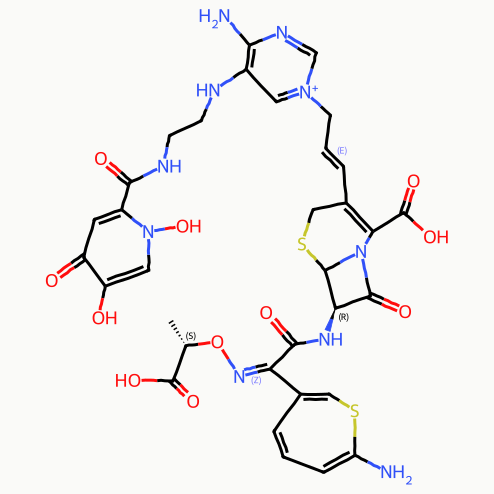 C[C@H](O/N=C(\C(=O)N[C@@H]1C(=O)N2C(C(=O)O)=C(/C=C/C[n+]3cnc(N)c(NCCNC(=O)c4cc(=O)c(O)cn4O)c3)CSC12)C1=CSC(N)=CC=C1)C(=O)O